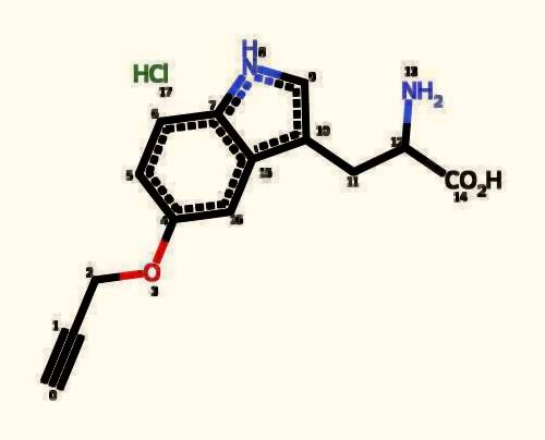 C#CCOc1ccc2[nH]cc(CC(N)C(=O)O)c2c1.Cl